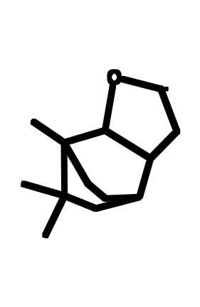 CC1(C)CC2CCC1(C)C1O[CH]CC21